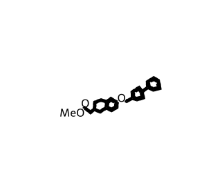 COC(=O)CC1CCc2cc(OCc3ccc(-c4ccccc4)cc3)ccc2C1